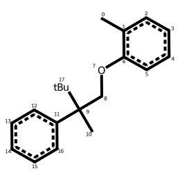 Cc1ccccc1OCC(C)(c1ccccc1)C(C)(C)C